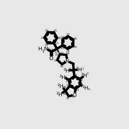 [2H]c1c([2H])c(C([2H])([2H])CN2CC[C@@H](C(C(N)=O)(c3ccccc3)c3ccccc3)C2)c([2H])c2c1OCC2([2H])[2H]